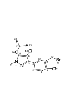 Cn1nc(-c2ccc(Cl)c(CBr)c2)c(Cl)c1OC(F)F